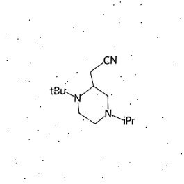 CC(C)N1CCN(C(C)(C)C)C(CC#N)C1